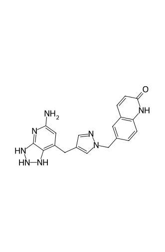 Nc1cc(Cc2cnn(Cc3ccc4[nH]c(=O)ccc4c3)c2)c2c(n1)NNN2